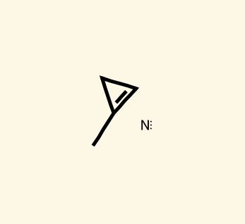 CC1=CC1.[N]